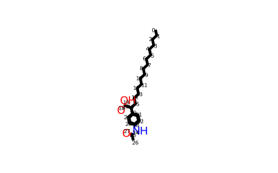 CCCCCCCCCCCCCCCCC(C(=O)O)c1ccc(NC(C)=O)cc1